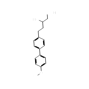 CCOc1ccc(-c2ccc(CCC(O)CC(=O)O)cc2)cc1